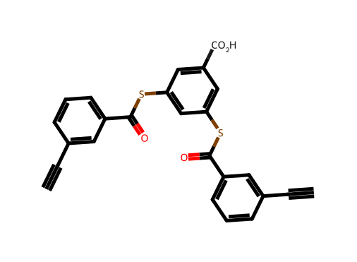 C#Cc1cccc(C(=O)Sc2cc(SC(=O)c3cccc(C#C)c3)cc(C(=O)O)c2)c1